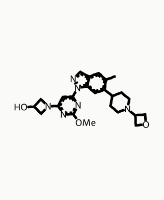 COc1nc(N2CC(O)C2)cc(-n2ncc3cc(C)c(C4CCN(C5COC5)CC4)cc32)n1